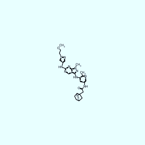 COCCn1cc(Nc2ncc3c(Nc4cc(NC(=O)CN5CC6CCC5CC6)cnc4C)nn(C)c3n2)cn1